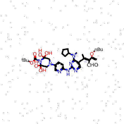 C=C(OCCCC)/C(C=O)=C(\C)c1cnc(Nc2ccc(N3CC(O)(O)N(C(=O)OC(C)(C)C)C(O)(O)C3)cn2)nc1N(C)C1CCCC1